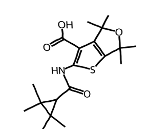 CC1(C)OC(C)(C)c2c1sc(NC(=O)C1C(C)(C)C1(C)C)c2C(=O)O